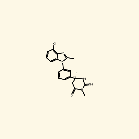 Cc1nc2c(Cl)cccc2n1-c1cccc([C@]2(C)CC(=O)N(C)C(=N)N2)c1